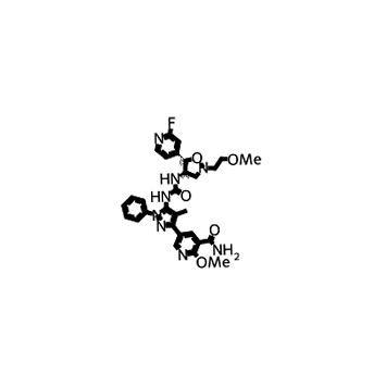 COCCN1C[C@@H](NC(=O)Nc2c(C)c(-c3cnc(OC)c(C(N)=O)c3)nn2-c2ccccc2)[C@H](c2ccnc(F)c2)O1